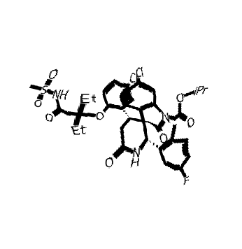 CCC(CC)(Oc1ccc(Cl)cc1[C@H]1CC(=O)N[C@@H](c2cc(F)ccc2C)[C@]12C(=O)N(C(=O)OC(C)C)c1cc(Cl)ccc12)C(=O)NS(C)(=O)=O